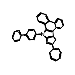 C1=CC=CC=C(C2=Cc3c(c4c5ccccc5c5ccccc5c4n3-c3ccc(-c4ccccc4)cc3)C2)C=1